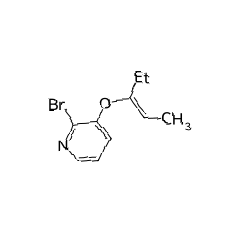 CC=C(CC)Oc1cccnc1Br